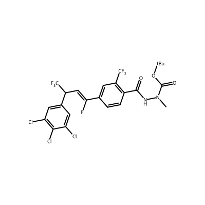 CN(NC(=O)c1ccc(C(F)=CC(c2cc(Cl)c(Cl)c(Cl)c2)C(F)(F)F)cc1C(F)(F)F)C(=O)OC(C)(C)C